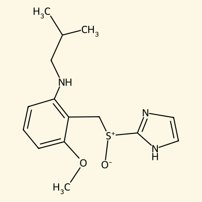 COc1cccc(NCC(C)C)c1C[S+]([O-])c1ncc[nH]1